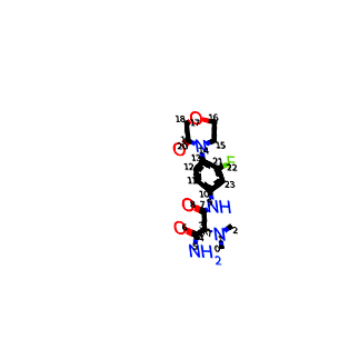 CN(C)[C@H](C(N)=O)C(=O)Nc1ccc(N2CCOCC2=O)c(F)c1